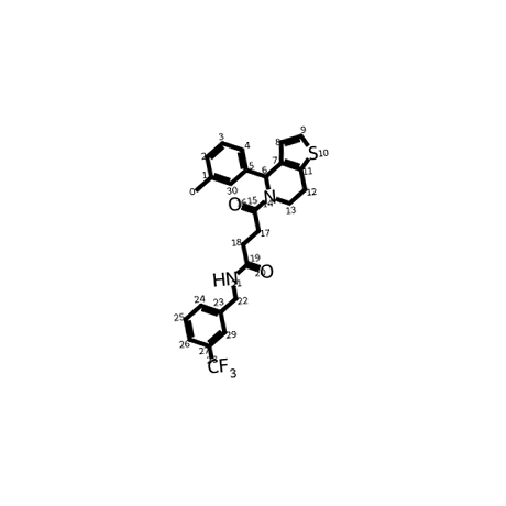 Cc1cccc(C2c3ccsc3CCN2C(=O)CCC(=O)NCc2cccc(C(F)(F)F)c2)c1